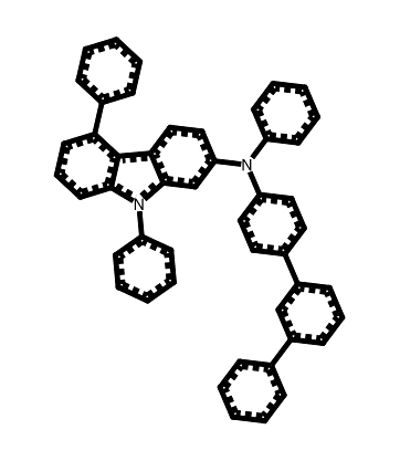 c1ccc(-c2cccc(-c3ccc(N(c4ccccc4)c4ccc5c6c(-c7ccccc7)cccc6n(-c6ccccc6)c5c4)cc3)c2)cc1